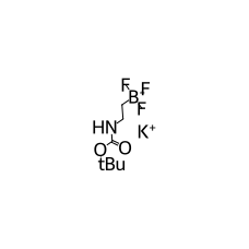 CC(C)(C)OC(=O)NCC[B-](F)(F)F.[K+]